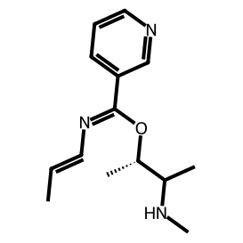 C/C=C/N=C(\O[C@@H](C)C(C)NC)c1cccnc1